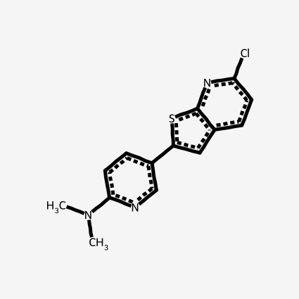 CN(C)c1ccc(-c2cc3ccc(Cl)nc3s2)cn1